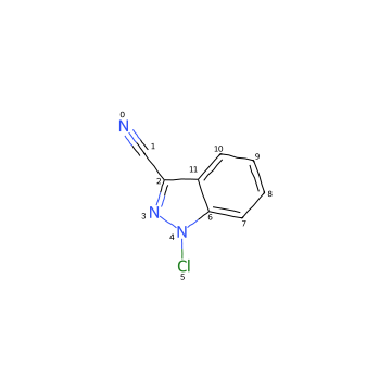 N#Cc1nn(Cl)c2ccccc12